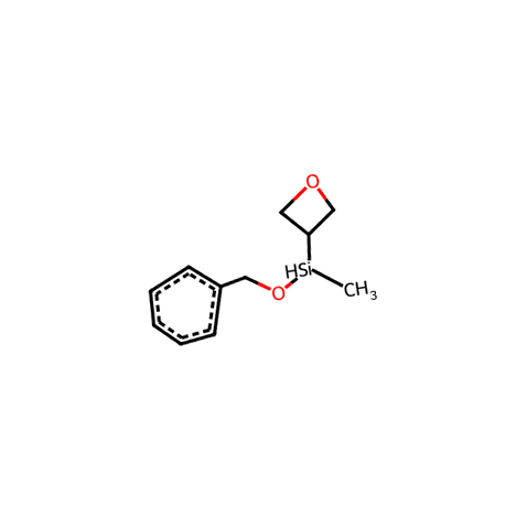 C[SiH](OCc1ccccc1)C1COC1